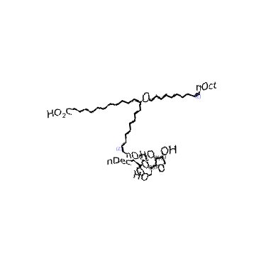 CCCCCCCC/C=C\CCCCCCCCOC(CCCCCCC/C=C\CCCCCCCC)CCCCCCCCCCCC(=O)O.CCCCCCCCCCCC(=O)O[C@H](CO)[C@H]1OC[C@H](O)[C@H]1O